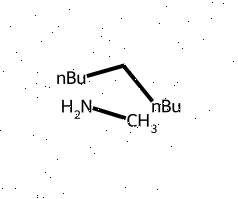 CCCCCCCCC.CN